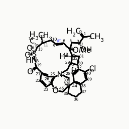 C=C(C)[C@H](O)C[C@]1(OC)/C=C/C[C@H](C)[C@@H](C)S(=O)(=O)NC(=O)c2ccc3c(c2)N(C[C@@H]2CC[C@H]21)C[C@@]1(CCCc2cc(Cl)ccc21)CO3